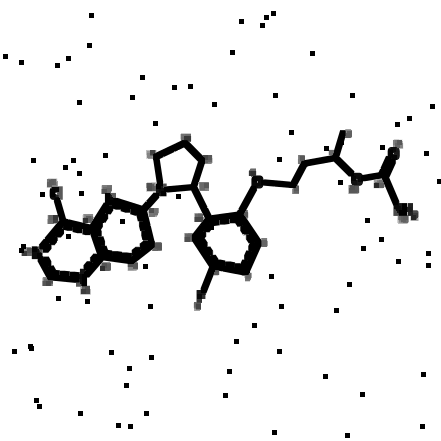 CC(CCOc1ccc(F)cc1C1CCCN1c1ccc2ncnc(Cl)c2n1)OC(N)=O